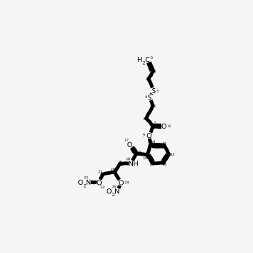 C=CCSSCCC(=O)Oc1ccccc1C(=O)NCC(CO[N+](=O)[O-])O[N+](=O)[O-]